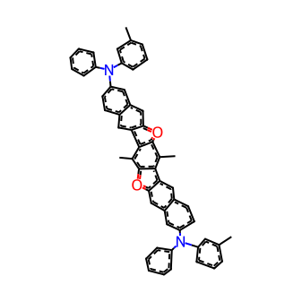 Cc1cccc(N(c2ccccc2)c2ccc3cc4c(cc3c2)oc2c(C)c3c(oc5cc6cc(N(c7ccccc7)c7cccc(C)c7)ccc6cc53)c(C)c24)c1